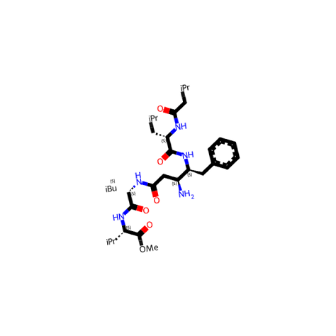 CC[C@H](C)[C@H](NC(=O)C[C@H](N)[C@H](Cc1ccccc1)NC(=O)[C@H](CC(C)C)NC(=O)CC(C)C)C(=O)N[C@H](C(=O)OC)C(C)C